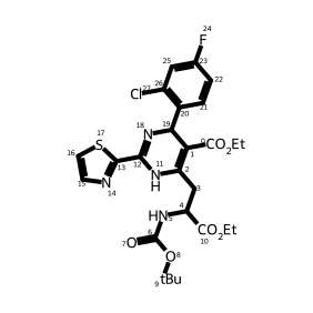 CCOC(=O)C1=C(CC(NC(=O)OC(C)(C)C)C(=O)OCC)NC(c2nccs2)=NC1c1ccc(F)cc1Cl